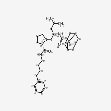 CC(C)C[C@H](CN1CCC[C@H]1C(=O)NCCCCc1ccccc1)NC(=O)C12CC3CC(CC(C3)C1)C2